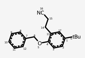 CC(C)(C)c1ccc(OCc2ccccc2)c(CCC#N)c1